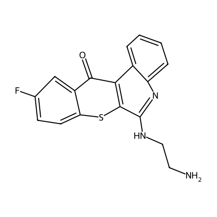 NCCNc1nc2ccccc2c2c(=O)c3cc(F)ccc3sc12